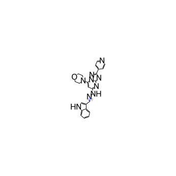 C(=N\Nc1cc(N2CCOCC2)n2nc(-c3ccncc3)nc2n1)/c1c[nH]c2ccccc12